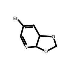 CCC1=CC2OCOC2N=C1